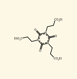 CCOC(=O)CCn1c(=O)n(CCC(=O)OCC)c(=O)n(CCC(=O)OCC)c1=O